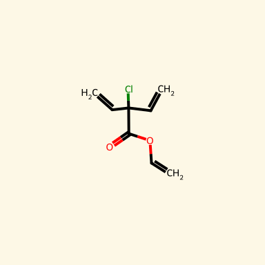 C=COC(=O)C(Cl)(C=C)C=C